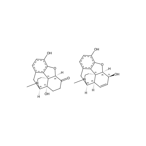 CN1CC[C@]23c4c5ccc(O)c4O[C@H]2C(=O)CC[C@@]3(O)[C@H]1C5.CN1CC[C@]23c4c5ccc(O)c4O[C@H]2[C@@H](O)C=C[C@H]3[C@H]1C5